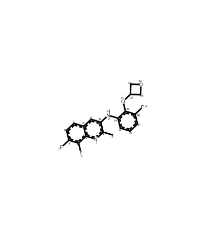 Cc1nc2c(F)c(F)ccc2cc1Nc1cccc(F)c1OC1COC1